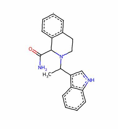 CC(c1c[nH]c2ccccc12)N1CCc2c[c]ccc2C1C(N)=O